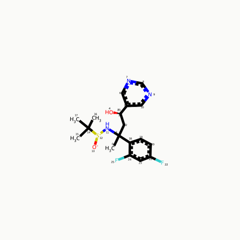 CC(C[C@@H](O)c1cncnc1)(N[S+]([O-])C(C)(C)C)c1ccc(F)cc1F